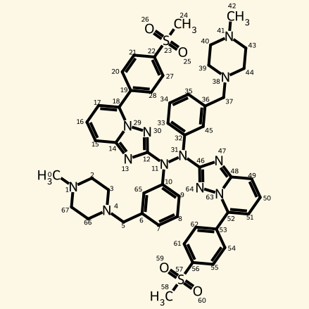 CN1CCN(Cc2cccc(N(c3nc4cccc(-c5ccc(S(C)(=O)=O)cc5)n4n3)N(c3cccc(CN4CCN(C)CC4)c3)c3nc4cccc(-c5ccc(S(C)(=O)=O)cc5)n4n3)c2)CC1